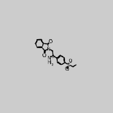 CCS(=O)(=O)c1ccc([C@@H](N)CN2C(=O)c3ccccc3C2=O)cc1